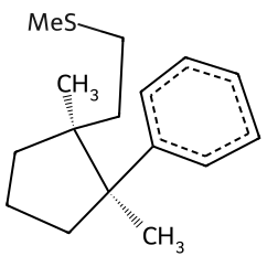 CSCC[C@]1(C)CCC[C@]1(C)c1ccccc1